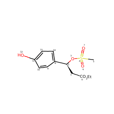 CCOC(=O)C[C@H](OS(C)(=O)=O)c1ccc(O)cc1